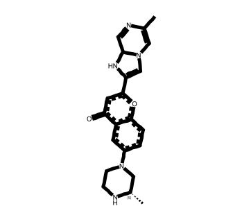 CC1=CN2C=C(c3cc(=O)c4cc(N5CCN[C@@H](C)C5)ccc4o3)NC2C=N1